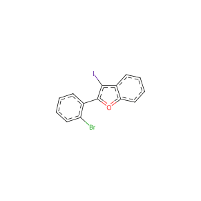 Brc1ccccc1-c1oc2ccccc2c1I